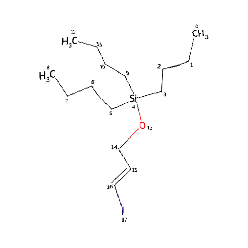 CCCC[Si](CCCC)(CCCC)OC/C=C/I